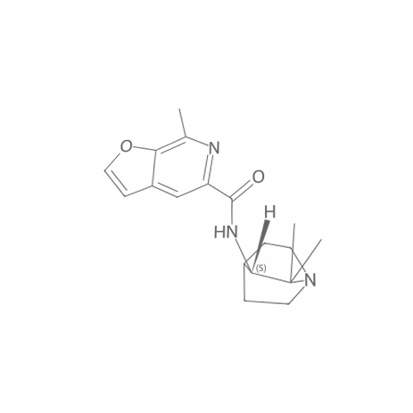 Cc1nc(C(=O)N[C@H]2C3CCN(CC3)C2(C)C)cc2ccoc12